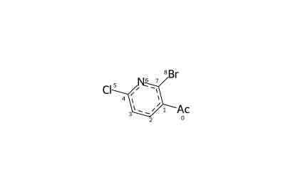 CC(=O)c1ccc(Cl)nc1Br